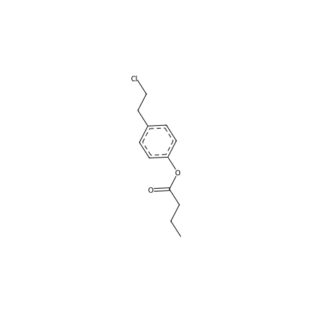 CCCC(=O)Oc1ccc(CCCl)cc1